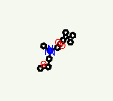 C1=CCCC(C2(c3ccccc3)c3ccccc3-c3cc4c(cc32)Oc2ccc(-c3nc(-c5ccccc5)nc(-c5ccc(-c6cccc7c6oc6ccccc67)cc5)n3)cc2O4)=C1